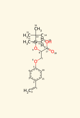 C=Cc1ccc(OCC(O[Si](C)(C)C(C)(C)C)C(=O)O)cc1